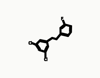 Fc1cccc(CCc2cc(Cl)[c]c(Cl)c2)c1